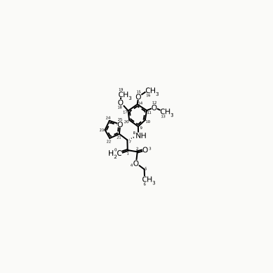 C=C(C(=O)OCC)[C@@H](Nc1cc(OC)c(OC)c(OC)c1)c1ccco1